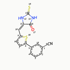 N#Cc1cccc(-c2ccc(C=C3NC(=S)NC3=O)s2)c1